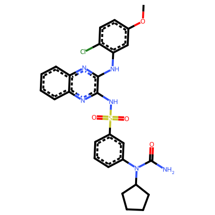 COc1ccc(Cl)c(Nc2nc3ccccc3nc2NS(=O)(=O)c2cccc(N(C(N)=O)C3CCCC3)c2)c1